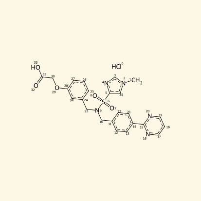 Cl.Cn1cnc(S(=O)(=O)N(Cc2ccc(-c3ncccn3)cc2)Cc2cccc(OCC(=O)O)c2)c1